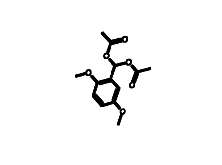 COc1ccc(OC)c(C(OC(C)=O)OC(C)=O)c1